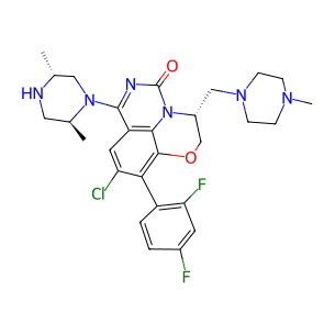 C[C@@H]1CN(c2nc(=O)n3c4c(c(-c5ccc(F)cc5F)c(Cl)cc24)OC[C@H]3CN2CCN(C)CC2)[C@@H](C)CN1